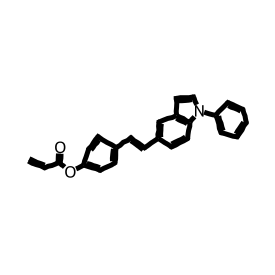 C=CC(=O)Oc1ccc(C=Cc2ccc3c(ccn3-c3ccccc3)c2)cc1